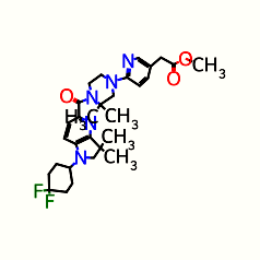 COC(=O)Cc1ccc(N2CCN(C(=O)c3ccc4c(n3)C(C)(C)CN4C3CCC(F)(F)CC3)C(C)(C)C2)nc1